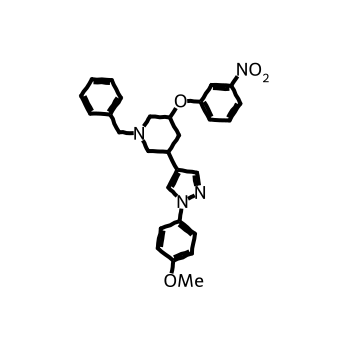 COc1ccc(-n2cc(C3CC(Oc4cccc([N+](=O)[O-])c4)CN(Cc4ccccc4)C3)cn2)cc1